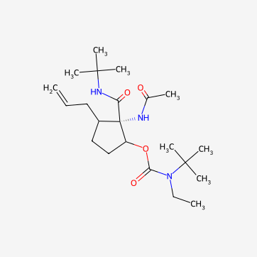 C=CCC1CCC(OC(=O)N(CC)C(C)(C)C)[C@]1(NC(C)=O)C(=O)NC(C)(C)C